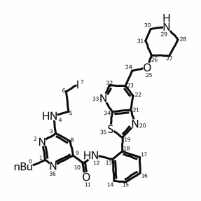 CCCCc1nc(NCCI)cc(C(=O)Nc2ccccc2-c2nc3cc(COC4CCNCC4)cnc3s2)n1